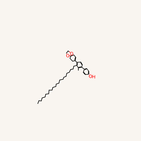 CCCCCCCCCCCCCCCCCCCCCCc1c(C2=CCC3(CC2)OCCO3)ccc(-c2ccc(O)cc2)c1C